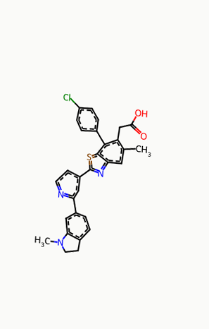 Cc1cc2nc(-c3ccnc(-c4ccc5c(c4)N(C)CC5)c3)sc2c(-c2ccc(Cl)cc2)c1CC(=O)O